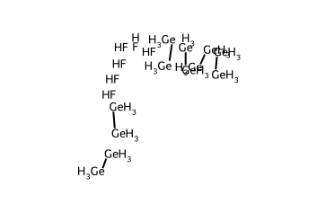 F.F.F.F.F.F.[GeH3][GeH3].[GeH3][GeH3].[GeH3][GeH3].[GeH3][GeH3].[GeH3][GeH3].[GeH3][GeH3]